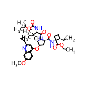 C=C[C@@H]1CC[C@]1(NC(=O)[C@@H]1C[C@@H](Oc2cc(C3CC3)nc3cc(OC)ccc23)CN1C(=O)[C@@H](NC(=O)OC(=C)C)C(C)(C)C)C(=O)OCC